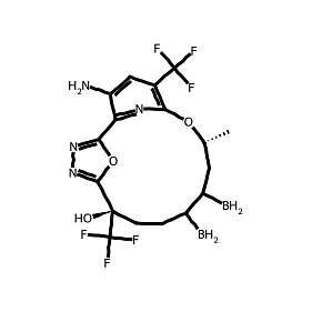 BC1CC[C@](O)(C(F)(F)F)c2nnc(o2)-c2nc(c(C(F)(F)F)cc2N)O[C@H](C)CC1B